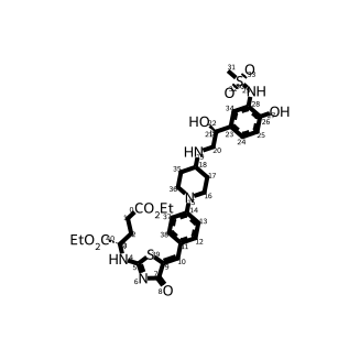 CCOC(=O)CC[C@H](NC1=NC(=O)C(=Cc2ccc(N3CCC(NC[C@@H](O)c4ccc(O)c(NS(C)(=O)=O)c4)CC3)cc2)S1)C(=O)OCC